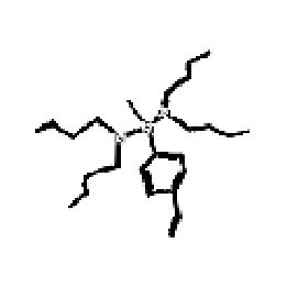 C=Cc1ccc([Si](C)(N(CCCC)CCCC)N(CCCC)CCCC)cc1